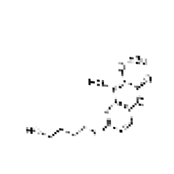 CCCCOc1c(O)c2cc(OCCCCO)ccc2oc1=O